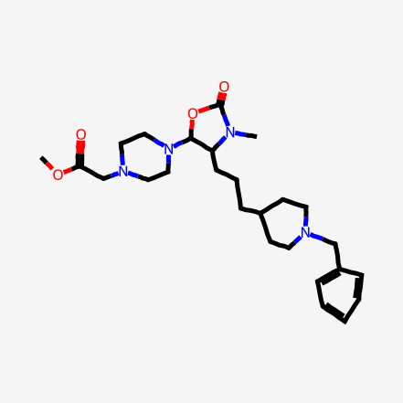 COC(=O)CN1CCN(C2OC(=O)N(C)C2CCCC2CCN(Cc3ccccc3)CC2)CC1